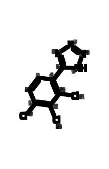 Clc1ccc(-c2nnn[nH]2)c(Cl)c1Cl